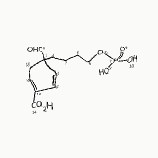 O=CC1(CCCCOP(=O)(O)O)C=CC(C(=O)O)=CC1